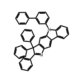 c1ccc(C2=Nc3cc4c5ccccc5n(-c5cccc(-c6ccccc6)c5)c4cc3C2(c2ccccc2)c2ccccc2)cc1